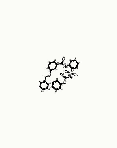 O=C(NS(=O)(=O)c1ccccc1NC(=O)c1cccc(OCc2ccccc2)c1)Oc1ccccc1